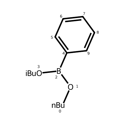 CCCCOB(OCC(C)C)c1ccccc1